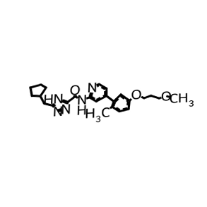 COCCCOc1ccc(C)c(-c2ccnc(NC(=O)c3nnc(CC4CCCC4)[nH]3)c2)c1